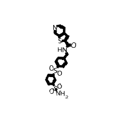 NS(=O)(=O)c1cccc(S(=O)(=O)c2ccc(CNC(=O)c3cc4ccncc4s3)cc2)c1